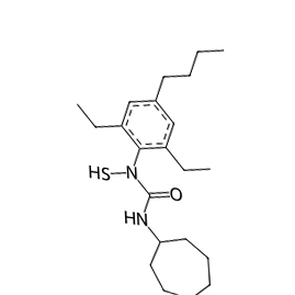 CCCCc1cc(CC)c(N(S)C(=O)NC2CCCCCC2)c(CC)c1